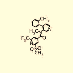 Cc1ccccc1-c1ccncc1N(C)C(=O)c1cc(C(F)(F)F)nc(S(C)(=O)=O)c1